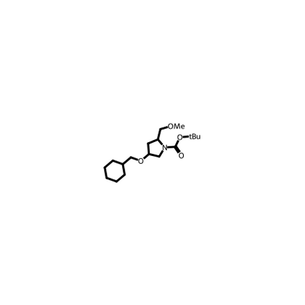 COCC1CC(OCC2CCCCC2)CN1C(=O)OC(C)(C)C